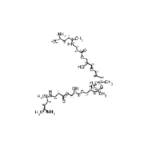 CC(N)CCC(C)NCCC(=O)OCC(O)COCCC[Si](C)(C)O[Si](C)(C)CCCOCC(O)COC(=O)CCNC(C)CCC(C)N